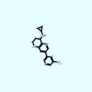 FC(F)(F)c1cncc(-c2cnc3c(c2)OCCC3NC2CC2)c1